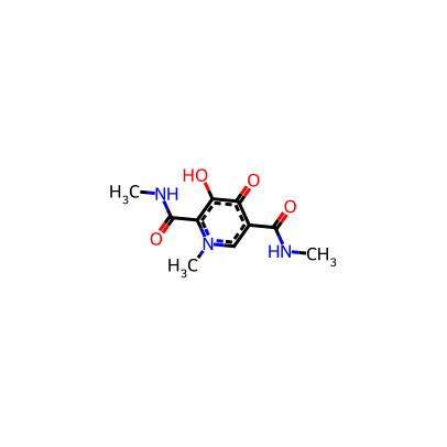 CNC(=O)c1cn(C)c(C(=O)NC)c(O)c1=O